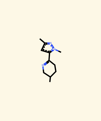 Cc1cc(C2=NCC(C)CC2)n(C)n1